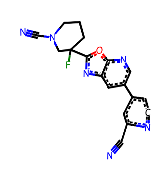 N#Cc1cc(-c2cnc3oc(C4(F)CCCN(C#N)C4)nc3c2)ccn1